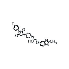 Cc1nc2cc(OC[C@H](O)CN3CCN(C4CC(=O)N(c5ccc(F)cc5)C4=O)CC3)ccc2s1